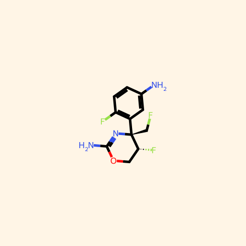 NC1=N[C@](CF)(c2cc(N)ccc2F)[C@H](F)CO1